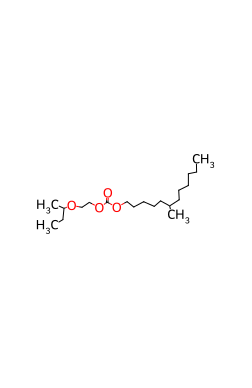 CCCCCCC(C)CCCCCOC(=O)OCCOC(C)CC